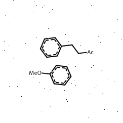 CC(=O)CCc1ccccc1.COc1ccccc1